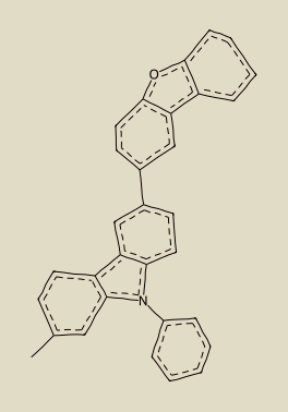 Cc1ccc2c3cc(-c4ccc5oc6ccccc6c5c4)ccc3n(-c3ccccc3)c2c1